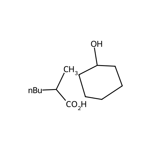 CCCCC(C)C(=O)O.OC1CCCCC1